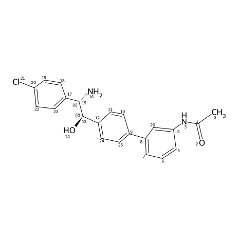 CC(=O)Nc1cccc(-c2ccc([C@@H](O)[C@@H](N)c3ccc(Cl)cc3)cc2)c1